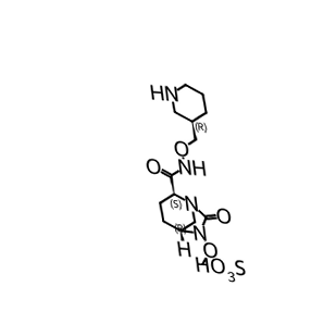 O=C(NOC[C@@H]1CCCNC1)[C@@H]1CC[C@@H]2CN1C(=O)N2OS(=O)(=O)O